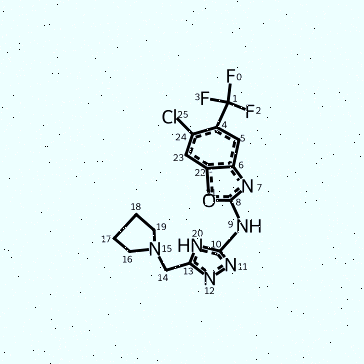 FC(F)(F)c1cc2nc(Nc3nnc(CN4CCCC4)[nH]3)oc2cc1Cl